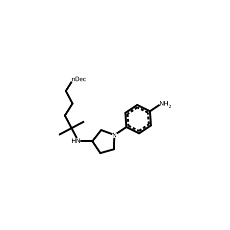 CCCCCCCCCCCCCC(C)(C)NC1CCN(c2ccc(N)cc2)C1